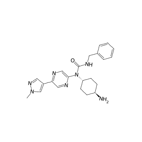 Cn1cc(-c2cnc(N(C(=O)NCc3ccccc3)[C@H]3CC[C@H](N)CC3)cn2)cn1